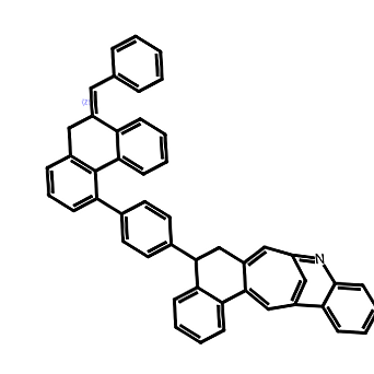 C1=C2CC(c3ccc(-c4cccc5c4-c4ccccc4/C(=C\c4ccccc4)C5)cc3)c3ccccc3C2=Cc2cc1nc1ccccc21